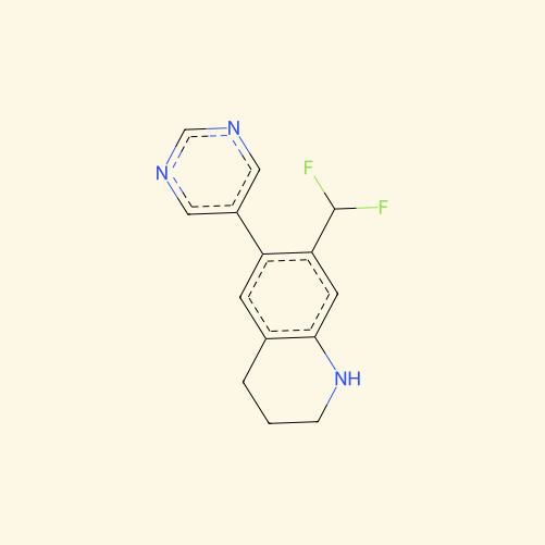 FC(F)c1cc2c(cc1-c1cncnc1)CCCN2